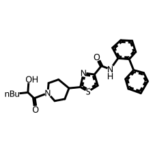 CCCCC(O)C(=O)N1CCC(c2nc(C(=O)Nc3ccccc3-c3ccccc3)cs2)CC1